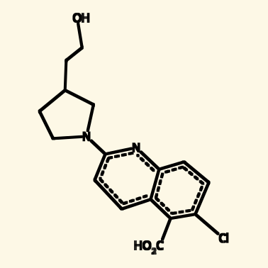 O=C(O)c1c(Cl)ccc2nc(N3CCC(CCO)C3)ccc12